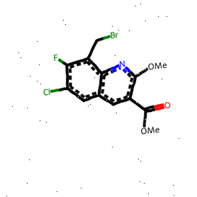 COC(=O)c1cc2cc(Cl)c(F)c(CBr)c2nc1OC